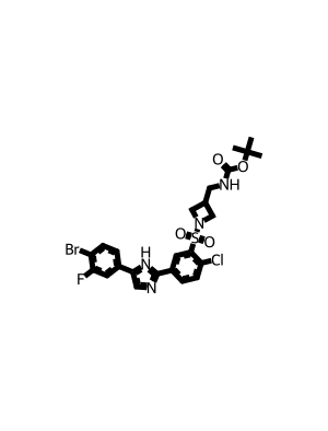 CC(C)(C)OC(=O)NCC1CN(S(=O)(=O)c2cc(-c3ncc(-c4ccc(Br)c(F)c4)[nH]3)ccc2Cl)C1